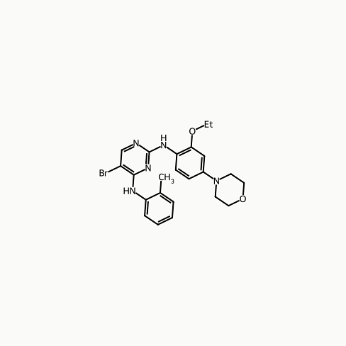 CCOc1cc(N2CCOCC2)ccc1Nc1ncc(Br)c(Nc2ccccc2C)n1